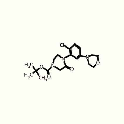 CC(C)(C)OC(=O)N1CCN(c2cc(N3CCOCC3)ccc2Cl)C(=O)C1